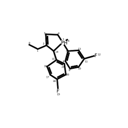 CCC1=CC[PH](C)(c2cccc(F)c2)C1c1ccc(F)cc1